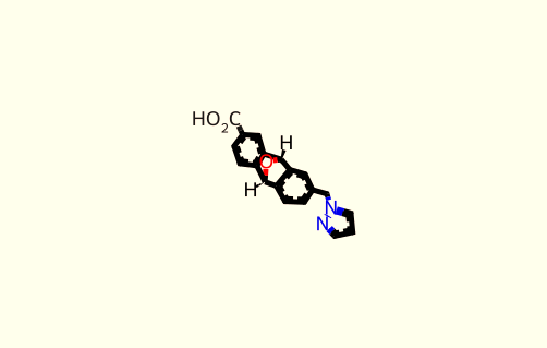 O=C(O)c1ccc2c(c1)[C@H]1O[C@H]2c2ccc(Cn3cccn3)cc21